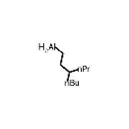 CCCCC(CCC)C[CH2][AlH2]